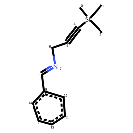 C[Si](C)(C)C#CCN=[C]c1ccccc1